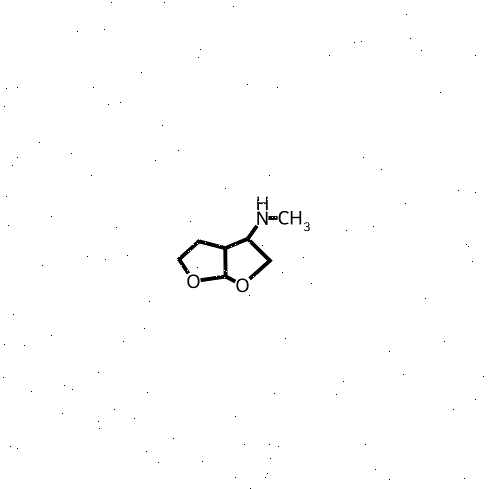 CNC1COC2OCCC12